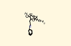 CNC(=O)C(C/C=C/c1ccccc1)OC(N)=O